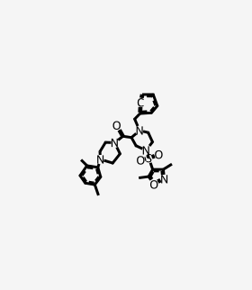 Cc1ccc(C)c(N2CCN(C(=O)C3CN(S(=O)(=O)c4c(C)noc4C)CCN3Cc3ccccc3)CC2)c1